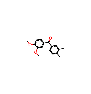 COc1ccc(C(=O)c2ccc(C)c(C)c2)cc1OC